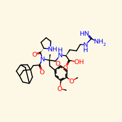 COc1ccc(C[C@@](C)(C(=O)N[C@@H](CCCNC(=N)N)C(=O)O)N(C(=O)CC23CC4CC(CC(C4)C2)C3)C(=O)[C@@H]2CCCN2)cc1OC